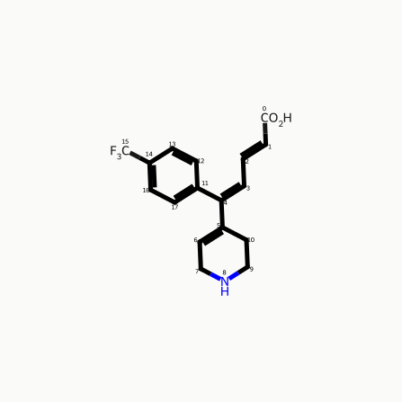 O=C(O)C=CC=C(C1=CCNCC1)c1ccc(C(F)(F)F)cc1